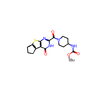 CC(C)(C)OC(=O)NC1CCN(C(=O)c2nc3sc4c(c3c(=O)[nH]2)CCC4)CC1